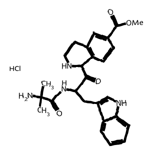 COC(=O)c1ccc2c(c1)CCNC2C(=O)C(Cc1c[nH]c2ccccc12)NC(=O)C(C)(C)N.Cl